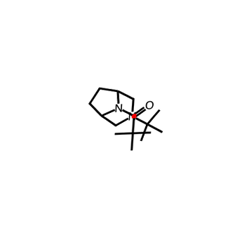 CC(C)(C)C(=O)N1C2CCC1CN(C(C)(C)C)C2